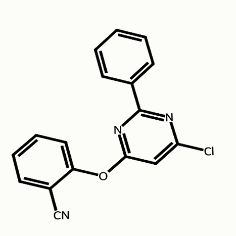 N#Cc1ccccc1Oc1cc(Cl)nc(-c2ccccc2)n1